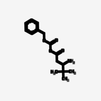 CC(C)(C)C(N)CC(=O)OC(=O)OCc1ccccc1